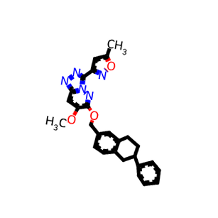 COc1cc2nnc(-c3cc(C)on3)n2nc1OCc1ccc2c(c1)CCC(c1ccccc1)C2